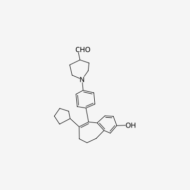 O=CC1CCN(c2ccc(C3=C(C4CCCC4)CCCc4cc(O)ccc43)cc2)CC1